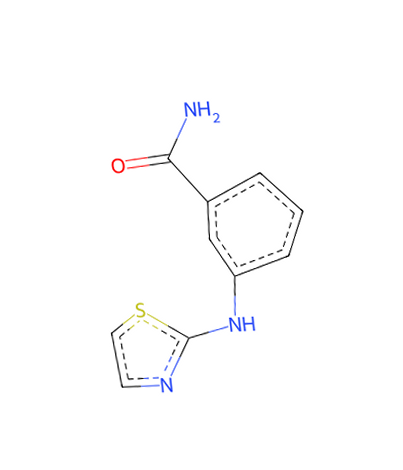 NC(=O)c1cccc(Nc2nccs2)c1